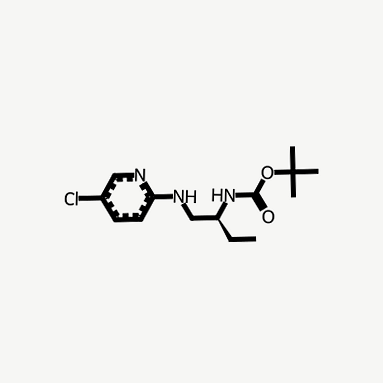 CC[C@@H](CNc1ccc(Cl)cn1)NC(=O)OC(C)(C)C